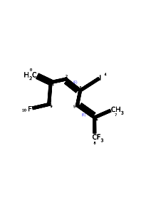 C=C(/C=C(I)\C=C(/C)C(F)(F)F)CF